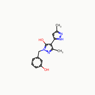 Cc1cc(-c2c(C)nn(Cc3cccc(O)c3)c2O)[nH]n1